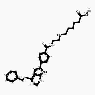 O=C(CCCCCNCCNC(=O)c1ccc(-c2cc3c(NCc4ccccc4)ncnc3[nH]2)cc1)NO